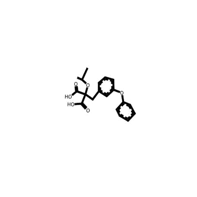 CC(C)OC(Cc1cccc(Oc2ccccc2)c1)(C(=O)O)C(=O)O